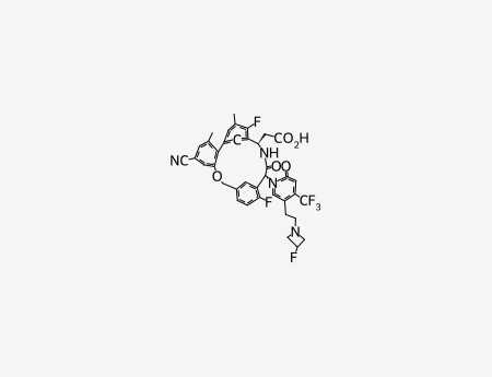 Cc1cc2cc(c1F)[C@@H](CC(=O)O)NC(=O)[C@@H](n1cc(CCN3CC(F)C3)c(C(F)(F)F)cc1=O)c1cc(ccc1F)COc1cc(C#N)cc(C)c1-2